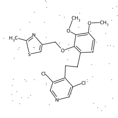 COc1ccc(CCc2c(Cl)cncc2Cl)c(OCc2csc(C)n2)c1OC